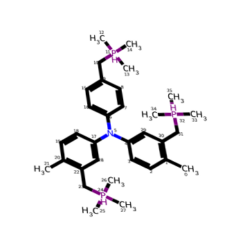 Cc1ccc(N(c2ccc(C[PH](C)(C)C)cc2)c2ccc(C)c(C[PH](C)(C)C)c2)cc1C[PH](C)(C)C